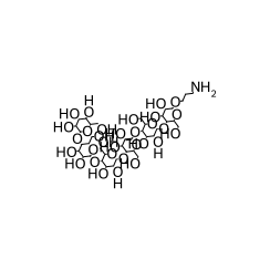 NCCCO[C@H]1OC(CO)[C@@H](O[C@@H]2OC(CO)[C@@H](OC3=C(O)C(O)[C@@H](O[C@H]4OC(CO)[C@@H](O[C@@H]5OC(CO)[C@@H](O[C@H]6OC(CO)[C@H](O)C(O)C6O)C(O)C5O)C(O)C4O)C(CO)O3)C(O)C2O)C(O)C1O